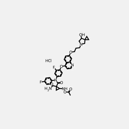 CC(=O)ONC1CC1(C(N)=O)C(=O)N(c1ccc(F)cc1)c1ccc(Oc2ccnc3cc(OCCCN4CC(O)C5(CC5)C4)ccc23)c(F)c1.Cl